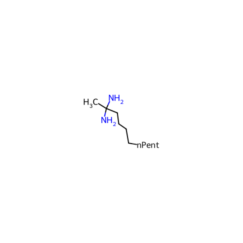 CCCCCCCCCC(C)(N)N